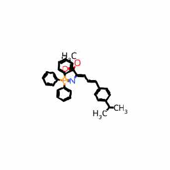 COC(=O)/C(=C/C=C/c1ccc(C(C)C)cc1)N=P(c1ccccc1)(c1ccccc1)c1ccccc1